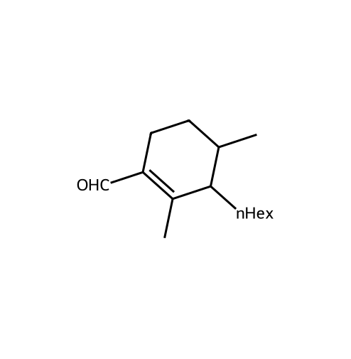 CCCCCCC1C(C)=C(C=O)CCC1C